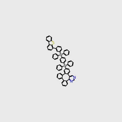 c1ccc([Si](c2ccccc2)(c2ccc([Si](c3ccccc3)(c3ccccc3)c3ccc4c(c3)-c3ccccc3-c3ccccc3-c3ncncc3-4)cc2)c2cccc(-c3cccc4c3sc3ccccc34)c2)cc1